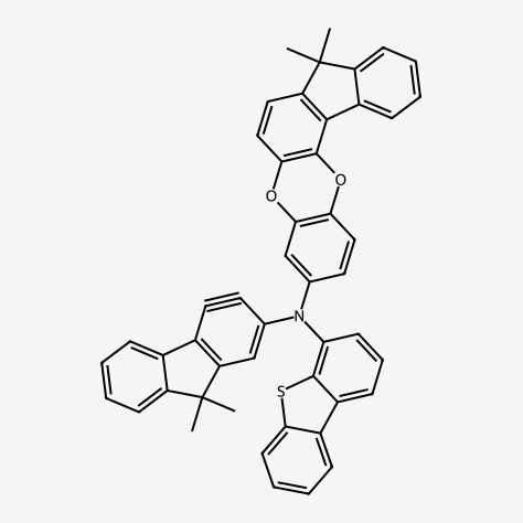 CC1(C)c2cc(N(c3ccc4c(c3)Oc3ccc5c(c3O4)-c3ccccc3C5(C)C)c3cccc4c3sc3ccccc34)c#cc2-c2ccccc21